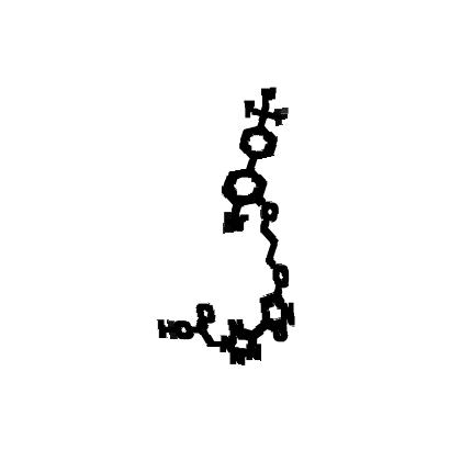 O=C(O)Cn1nnc(-c2cc(OCCCOc3cc(-c4ccc(C(F)(F)F)cc4)ccc3Br)no2)n1